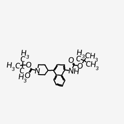 CC(C)(C)OC(=O)Nc1ccc(C2CCN(C(=O)OC(C)(C)C)CC2)c2ccccc12